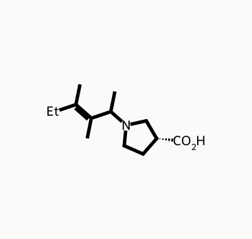 CC/C(C)=C(\C)C(C)N1CC[C@@H](C(=O)O)C1